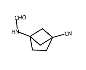 N#CC12CCC(N[C]=O)(C1)C2